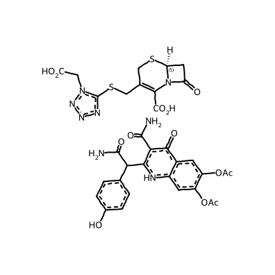 CC(=O)Oc1cc2[nH]c(C(C(N)=O)c3ccc(O)cc3)c(C(N)=O)c(=O)c2cc1OC(C)=O.O=C(O)Cn1nnnc1SCC1=C(C(=O)O)N2C(=O)C[C@@H]2SC1